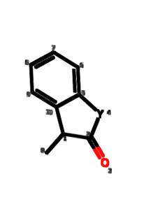 CC1[C](=O)[Y][c]2ccccc21